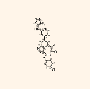 CN1C(=O)CC(Cc2ccc(Cl)cc2)c2nnc3cc(-c4ccnc(Nc5ccnn5C)c4)cc1n23